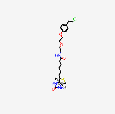 O=C(CCCCCC1SC[C@@H]2NC(=O)N[C@H]12)NCCOCCOc1ccc(CCCl)cc1